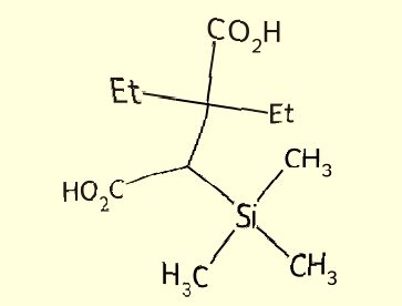 CCC(CC)(C(=O)O)C(C(=O)O)[Si](C)(C)C